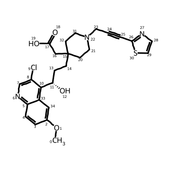 COc1ccc2ncc(Cl)c([C@@H](O)CCC3(CC(=O)O)CCN(CC#Cc4nccs4)CC3)c2c1